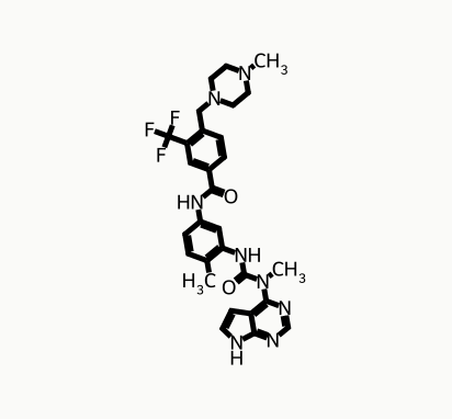 Cc1ccc(NC(=O)c2ccc(CN3CCN(C)CC3)c(C(F)(F)F)c2)cc1NC(=O)N(C)c1ncnc2[nH]ccc12